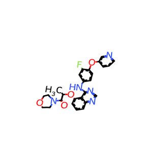 CC(Oc1cccc2ncnc(Nc3ccc(Oc4cccnc4)c(F)c3)c12)C(=O)N1CCOCC1